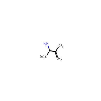 C=C(C(N)C(=O)OCC)C(F)(F)F